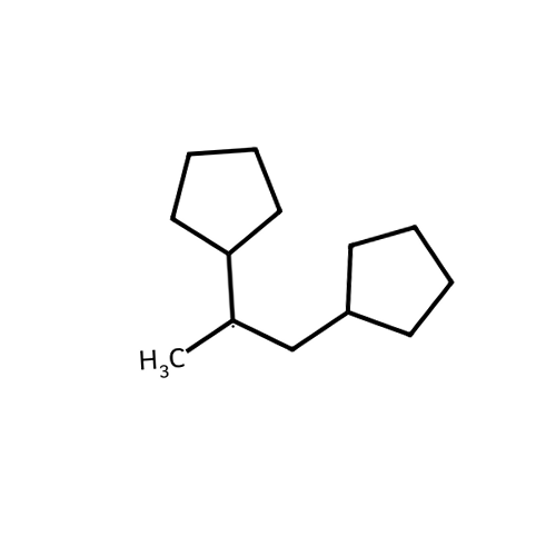 C[C](CC1CCCC1)C1CCCC1